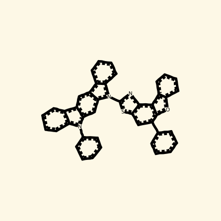 c1ccc(-c2cc3sc(-n4c5ccccc5c5cc6c7ccccc7n(-c7ccccc7)c6cc54)nc3c3c2oc2ccccc23)cc1